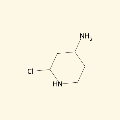 NC1CCNC(Cl)C1